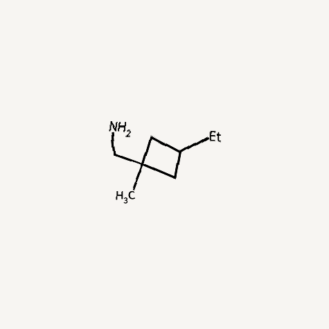 CCC1CC(C)(CN)C1